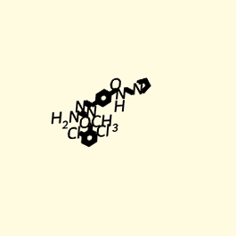 CC(Oc1nc(-c2ccc(C(=O)NCCN3CCCC3)cc2)cnc1N)c1c(Cl)cccc1Cl